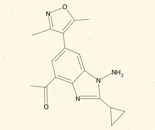 CC(=O)c1cc(-c2c(C)noc2C)cc2c1nc(C1CC1)n2N